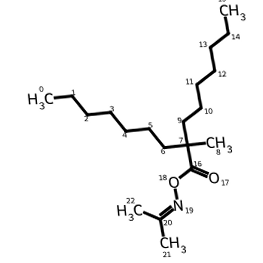 CCCCCCCC(C)(CCCCCCC)C(=O)ON=C(C)C